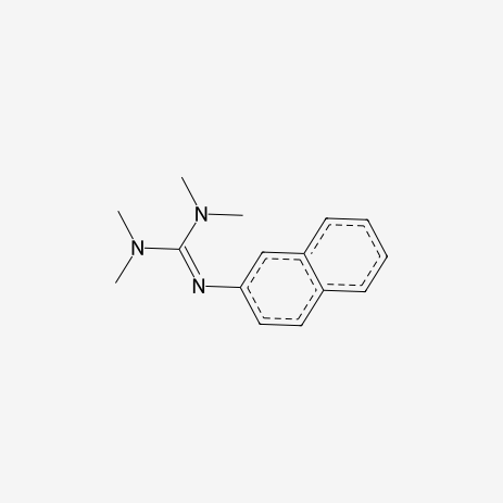 CN(C)C(=Nc1ccc2ccccc2c1)N(C)C